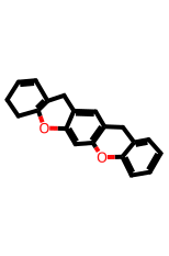 C1=CC2=C(CC1)Oc1cc3c(cc1C2)Cc1ccccc1O3